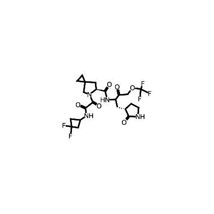 O=C(NC1CC(F)(F)C1)C(=O)N1CC2(CC2)C[C@H]1C(=O)NC(C[C@@H]1CCNC1=O)C(=O)COC(F)(F)F